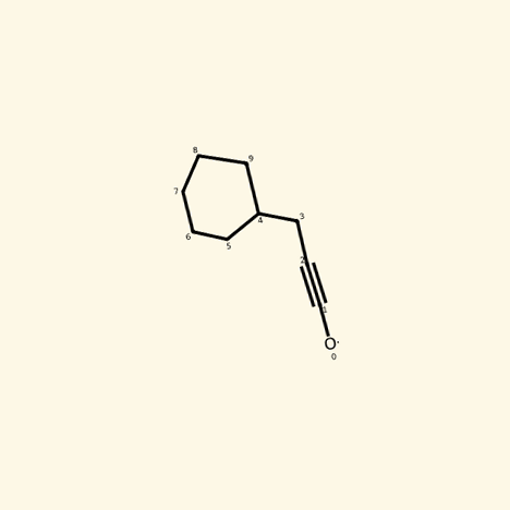 [O]C#CCC1CCCCC1